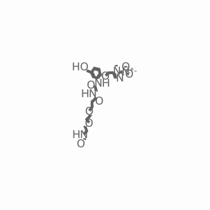 Cn1c(COc2ccc(CO)cc2NC(=O)CNC(=O)CCOCCOCCNC=O)cnc1[N+](=O)[O-]